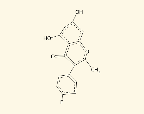 Cc1oc2cc(O)cc(O)c2c(=O)c1-c1ccc(F)cc1